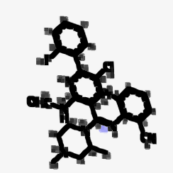 CC(C)c1cccc(C#N)c1/N=C(\c1cc(Cl)c(-c2ccccc2F)nc1NC=O)N1CCN(C)CC1C